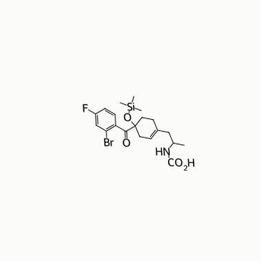 CC(CC1=CCC(O[Si](C)(C)C)(C(=O)c2ccc(F)cc2Br)CC1)NC(=O)O